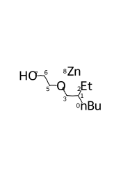 CCCCC(CC)COCCO.[Zn]